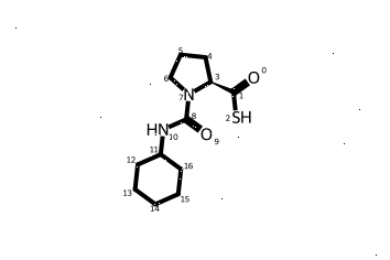 O=C(S)[C@@H]1CCCN1C(=O)NC1CCCCC1